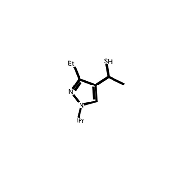 CCc1nn(C(C)C)cc1C(C)S